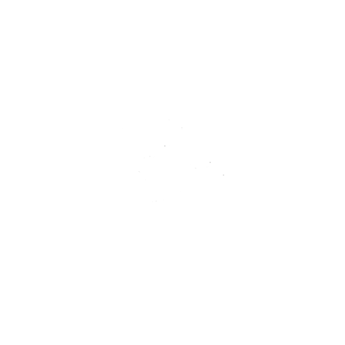 CCOc1ccc(OC(=O)CC)cc1.COc1cc(C(O)C(=O)O)ccc1O